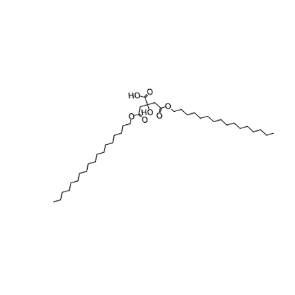 CCCCCCCCCCCCCCCCCCOC(=O)CC(O)(CC(=O)OCCCCCCCCCCCCCCCC)C(=O)O